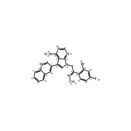 CN=C(Cn1cc(-c2cnc3ccccc3c2)c2c(N)ncnc21)c1ccc(F)cc1Br